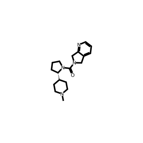 CN1CCC([C@@H]2CCCN2C(=O)N2Cc3cccnc3C2)CC1